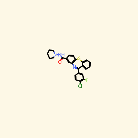 O=C(NN1CCCCC1)c1ccc2c(c1)N=C(c1ccc(Cl)c(F)c1)c1ccccc1S2